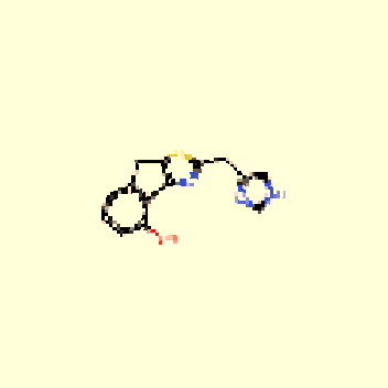 Oc1cccc2c1-c1nc(Cc3c[nH]cn3)sc1C2